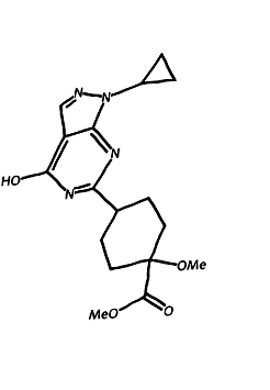 COC(=O)C1(OC)CCC(c2nc(O)c3cnn(C4CC4)c3n2)CC1